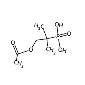 CC(=O)OCC(C)(C)P(=O)(O)O